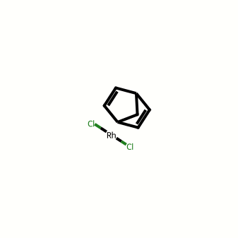 C1=CC2C=CC1C2.[Cl][Rh][Cl]